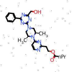 CCCC(=O)OCCc1nccc(N2[C@H](C)CN(c3nc(CO)nc(-c4ccccc4)n3)C[C@@H]2C)n1